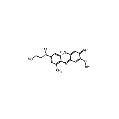 CCCOC1=CC(=Nc2ccc(N(CC)CCO)cc2C)C(N)=CC1=N